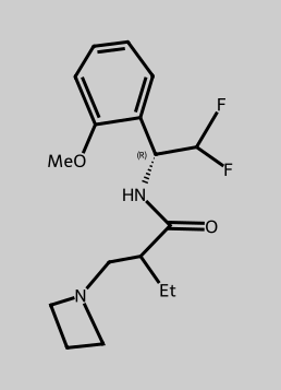 CCC(CN1CCC1)C(=O)N[C@H](c1ccccc1OC)C(F)F